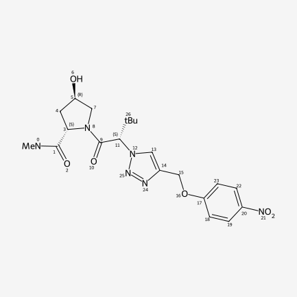 CNC(=O)[C@@H]1C[C@@H](O)CN1C(=O)[C@@H](n1cc(COc2ccc([N+](=O)[O-])cc2)nn1)C(C)(C)C